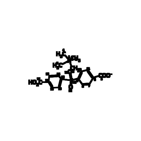 C[N+](C)(C)C.O=C([O-])c1ccc(S(=O)(=O)c2ccc(C(=O)O)cc2)cc1